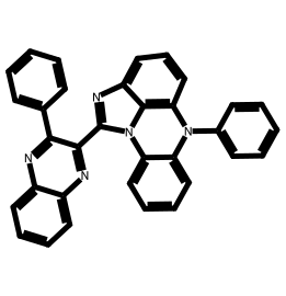 c1ccc(-c2nc3ccccc3nc2-c2nc3cccc4c3n2-c2ccccc2N4c2ccccc2)cc1